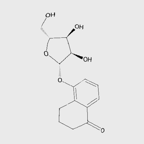 O=C1CCCc2c(O[C@@H]3O[C@H](CO)[C@@H](O)[C@H]3O)cccc21